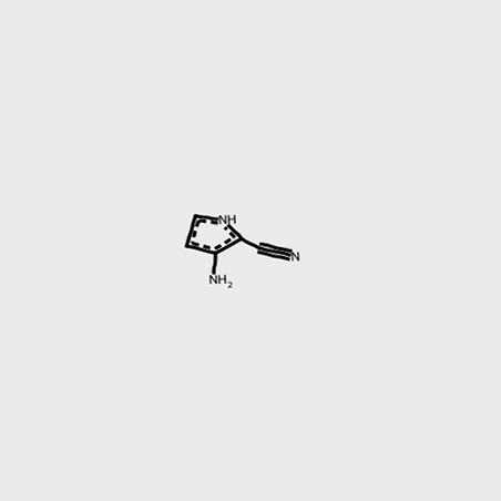 N#Cc1[nH]ccc1N